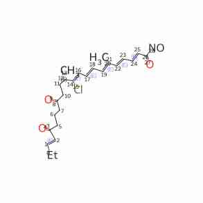 CC/C=C/C(=O)CCCC(=O)CC[C@H](C)/C(Cl)=C/C=C/C=C(C)/C=C/C=C/C(=O)N=O